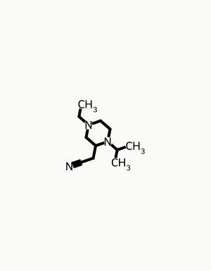 CCN1CCN(C(C)C)C(CC#N)C1